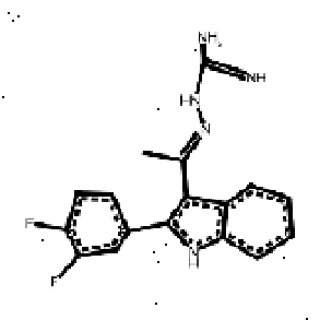 CC(=NNC(=N)N)c1c(-c2ccc(F)c(F)c2)[nH]c2ccccc12